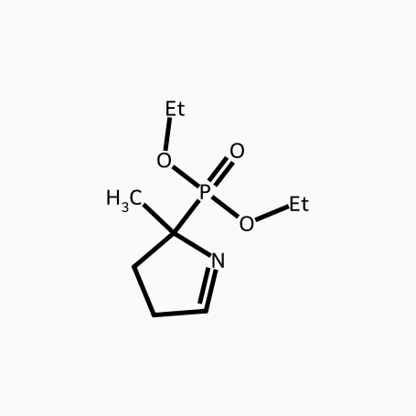 CCOP(=O)(OCC)C1(C)CCC=N1